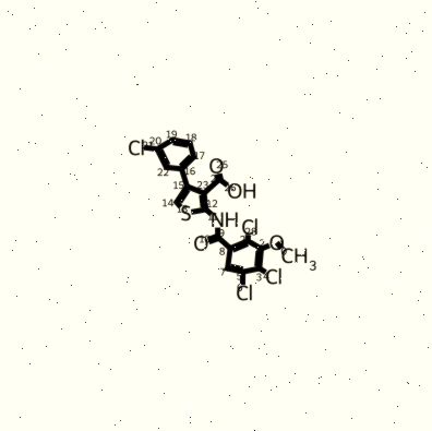 COc1c(Cl)c(Cl)cc(C(=O)Nc2scc(-c3cccc(Cl)c3)c2C(=O)O)c1Cl